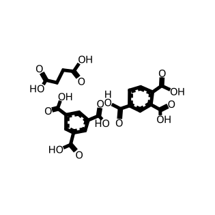 O=C(O)CCC(=O)O.O=C(O)c1cc(C(=O)O)cc(C(=O)O)c1.O=C(O)c1ccc(C(=O)O)c(C(=O)O)c1